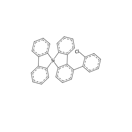 Clc1ccccc1-c1cccc2c1-c1ccccc1[Si]21c2ccccc2-c2ccccc21